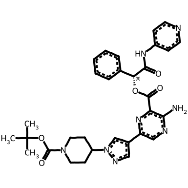 CC(C)(C)OC(=O)N1CCC(n2cc(-c3cnc(N)c(C(=O)O[C@@H](C(=O)Nc4ccncc4)c4ccccc4)n3)cn2)CC1